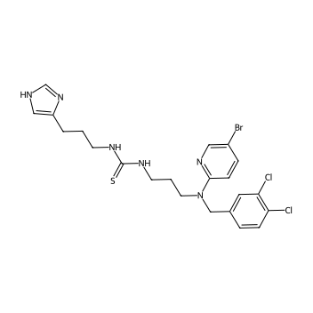 S=C(NCCCc1c[nH]cn1)NCCCN(Cc1ccc(Cl)c(Cl)c1)c1ccc(Br)cn1